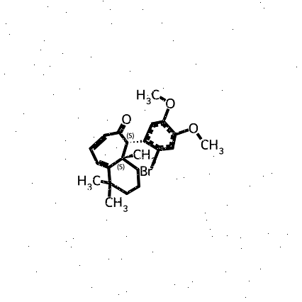 COc1cc(Br)c([C@H]2C(=O)C=CC=C3C(C)(C)CCC[C@]32C)cc1OC